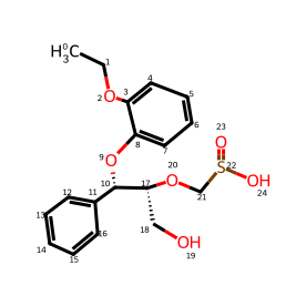 CCOc1ccccc1O[C@@H](c1ccccc1)[C@@H](CO)OCS(=O)O